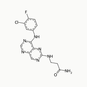 NC(=O)CCNc1ncc2ncnc(Nc3ccc(F)c(Cl)c3)c2n1